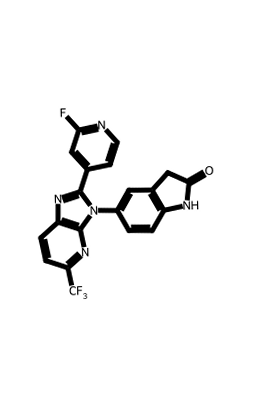 O=C1Cc2cc(-n3c(-c4ccnc(F)c4)nc4ccc(C(F)(F)F)nc43)ccc2N1